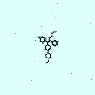 CCN1CCN(C2=CCC(/C(=C(/CCCO)c3ccccc3)c3ccc(O)cc3)C=C2)CC1